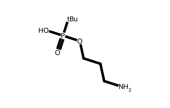 CC(C)(C)P(=O)(O)OCCCN